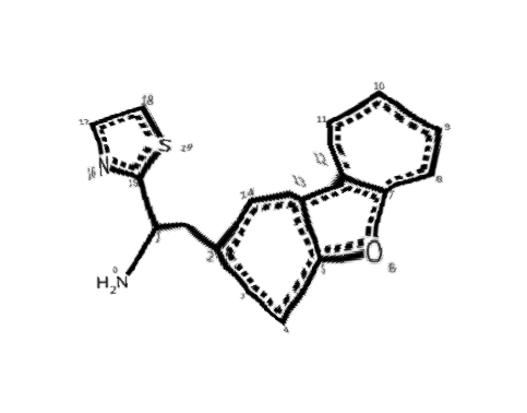 NC(c1ccc2oc3ccccc3c2c1)c1nccs1